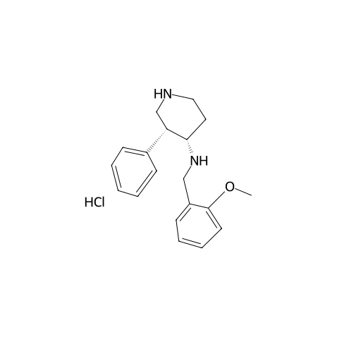 COc1ccccc1CN[C@H]1CCNC[C@H]1c1ccccc1.Cl